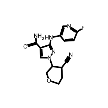 N#CC1CCOCC1n1cc(C(N)=O)c(Nc2ccc(F)nc2)n1